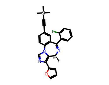 C[C@@H]1N=C(c2ccccc2F)c2cc(C#C[Si](C)(C)C)ccc2-n2cnc(-c3ccco3)c21